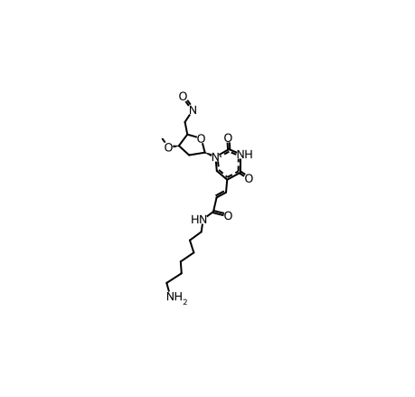 CO[C@@H]1C[C@H](n2cc(/C=C/C(=O)NCCCCCCN)c(=O)[nH]c2=O)OC1CN=O